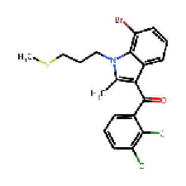 CSCCCn1c(C)c(C(=O)c2cccc(Cl)c2Cl)c2cccc(Br)c21